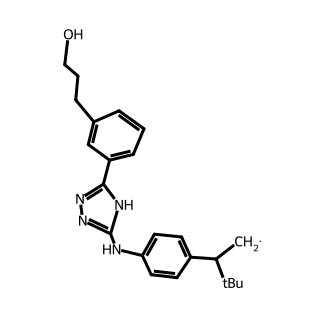 [CH2]C(c1ccc(Nc2nnc(-c3cccc(CCCO)c3)[nH]2)cc1)C(C)(C)C